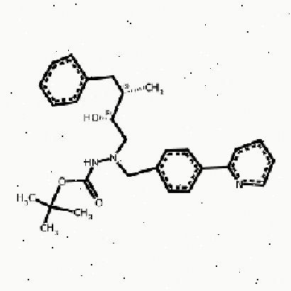 C[C@@H](Cc1ccccc1)[C@@H](O)CN(Cc1ccc(-c2ccccn2)cc1)NC(=O)OC(C)(C)C